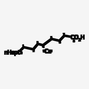 CCCCCCCCCCCCCCC(=O)O.[Ca]